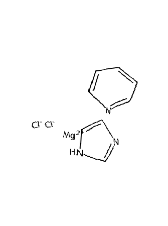 [Cl-].[Cl-].[Mg+2].c1c[nH]cn1.c1ccncc1